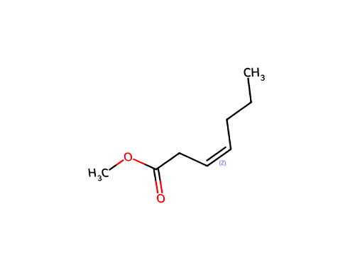 CCC/C=C\CC(=O)OC